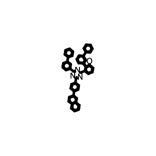 c1ccc(-c2cccc(-c3nc(-c4ccc(-c5ccc6ccccc6c5)cc4)nc(-c4cccc5oc6c(-c7ccccc7)cccc6c45)n3)c2)cc1